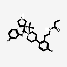 CCC(=O)NCCc1cc(F)ccc1C1CCN(C(=O)[C@@]2(C(C)(C)C)CNC[C@H]2c2ccc(F)cc2F)CC1